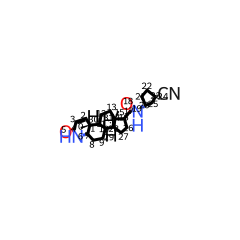 C[C@]12C=CC(=O)NC1CC[C@@H]1[C@H]2CC[C@]2(C)C(C(=O)NC3CCC(C#N)C3)CC[C@@H]12